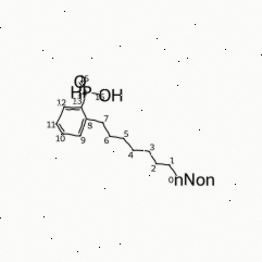 CCCCCCCCCCCCCCCCc1ccccc1[PH](=O)O